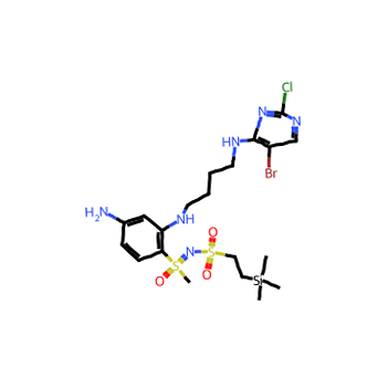 C[Si](C)(C)CCS(=O)(=O)N=S(C)(=O)c1ccc(N)cc1NCCCCNc1nc(Cl)ncc1Br